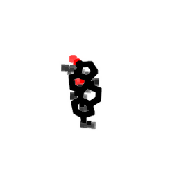 CC(=O)OC1CC[C@@]2(C)C(CC[C@@H]3[C@H]2CC[C@]2(C)C(=O)CC[C@@]32O)C1